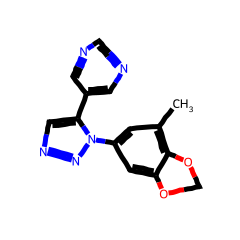 Cc1cc(-n2nncc2-c2cncnc2)cc2c1OCO2